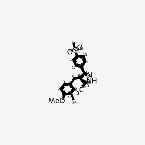 COc1ccc(Cc2c(-c3ccc(S(C)(=O)=O)cc3)n[nH]c2C(F)(F)F)cc1C